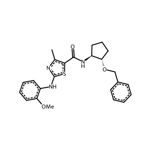 COc1ccccc1Nc1nc(C)c(C(=O)N[C@H]2CCC[C@@H]2OCc2ccccc2)s1